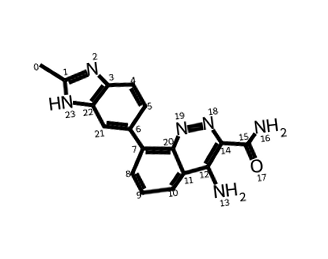 Cc1nc2ccc(-c3cccc4c(N)c(C(N)=O)nnc34)cc2[nH]1